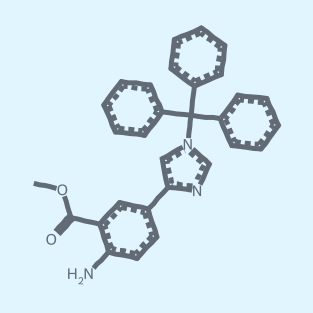 COC(=O)c1cc(-c2cn(C(c3ccccc3)(c3ccccc3)c3ccccc3)cn2)ccc1N